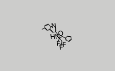 Cc1ccc2ncc(C(=O)NC(C)(Cc3ccccc3)CC(F)(F)F)cc2c1